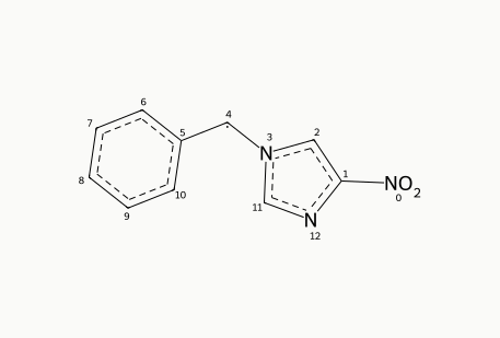 O=[N+]([O-])c1cn([CH]c2ccccc2)cn1